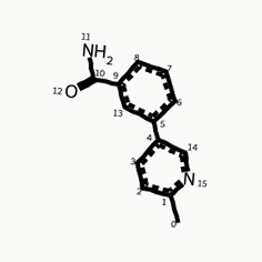 Cc1ccc(-c2cccc(C(N)=O)c2)cn1